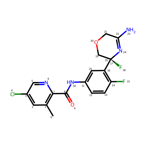 Cc1cc(Cl)cnc1C(=O)Nc1ccc(F)c([C@]2(F)COCC(N)=N2)c1